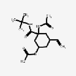 C=CC1CC(NC(=O)O)CC(NC(C)=O)(C(=O)NC(C)(C)C)C1